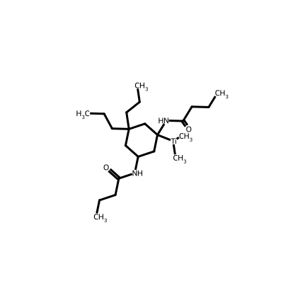 CCCC(=O)NC1CC(CCC)(CCC)C[C](NC(=O)CCC)([Ti]([CH3])[CH3])C1